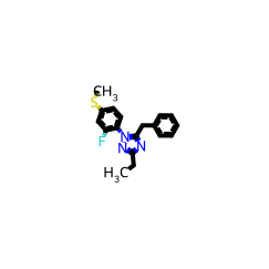 CCc1nc(Cc2ccccc2)n(-c2ccc(SC)cc2F)n1